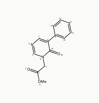 COC(=O)Cn1cncc(-c2ccccc2)c1=O